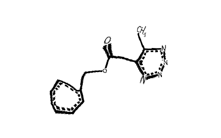 Cc1nnnnc1C(=O)OCc1ccccc1